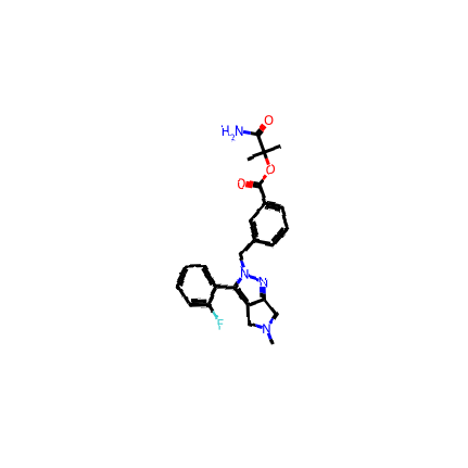 CN1Cc2nn(Cc3cccc(C(=O)OC(C)(C)C(N)=O)c3)c(-c3ccccc3F)c2C1